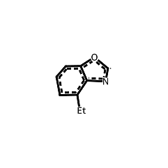 CCc1cccc2o[c]nc12